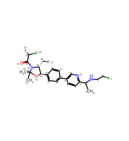 CC(NCCF)c1ccc(-c2ccc([C@H]3OC(C)(C)N(C(=O)C(F)F)[C@@H]3CF)cc2)cn1